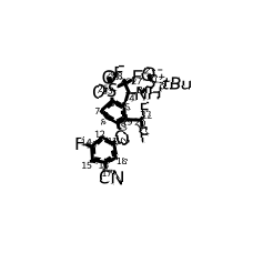 CC(C)(C)[S@@+]([O-])N[C@H]1c2c(ccc(Oc3cc(F)cc(C#N)c3)c2C(F)F)S(=O)(=O)C1(F)F